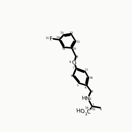 C[C@H](NCc1ccc(OCc2cccc(F)c2)cc1)C(=O)O